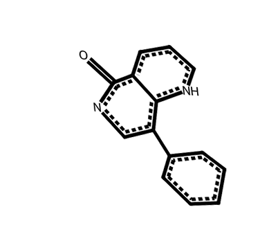 O=c1ncc(-c2ccccc2)c2[nH]cccc1-2